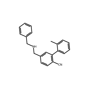 Cc1ccccc1-c1cc(CNCc2ccccc2)ccc1C#N